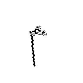 CCCCCCCCCCCCCCCCCCS(=O)(=O)CC(COC)CC(COP(=O)([O-])O)[N+](C)(C)C